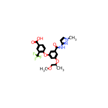 COC[C@H](C)Oc1cc(Oc2ccc(C(=O)O)cc2C(F)(F)F)cc(C(=O)Nc2ccn(C)n2)c1